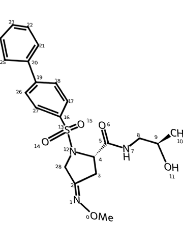 CO/N=C1\C[C@@H](C(=O)NC[C@@H](C)O)N(S(=O)(=O)c2ccc(-c3ccccc3)cc2)C1